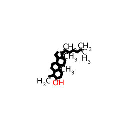 CCC1C2CCC3=C(CC[C@@]4(C)C3=CC[C@@H]4[C@H](C)CCCC(C)C)[C@@]2(C)CC[C@@H]1O